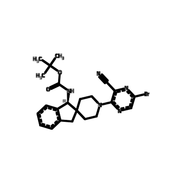 CC(C)(C)OC(=O)N[C@@H]1c2ccccc2CC12CCN(c1ncc(Br)nc1C#N)CC2